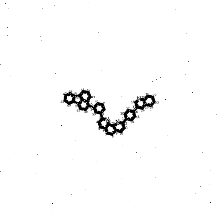 c1cc(-c2ccc3ccc4ccc(-c5ccc(-c6cnc7ccccc7c6)cc5)nc4c3n2)cc(-c2ccc3c4c(cccc24)-c2ccccc2-3)c1